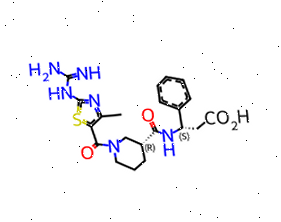 Cc1nc(NC(=N)N)sc1C(=O)N1CCC[C@@H](C(=O)N[C@@H](CC(=O)O)c2ccccc2)C1